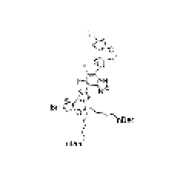 CCCCCCCCCCCCCCCC1(CCCCCCCCCCCCCCC)Oc2cc(Br)sc2-c2sc(-c3c(F)c(F)c(-c4cc5c(s4)-c4sc(Br)cc4OC5(C)C)c4nsnc34)cc21